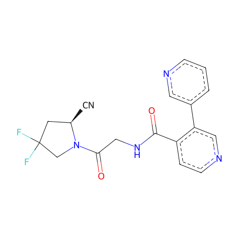 N#C[C@@H]1CC(F)(F)CN1C(=O)CNC(=O)c1ccncc1-c1cccnc1